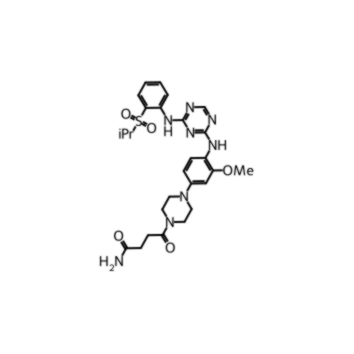 COc1cc(N2CCN(C(=O)CCC(N)=O)CC2)ccc1Nc1ncnc(Nc2ccccc2S(=O)(=O)C(C)C)n1